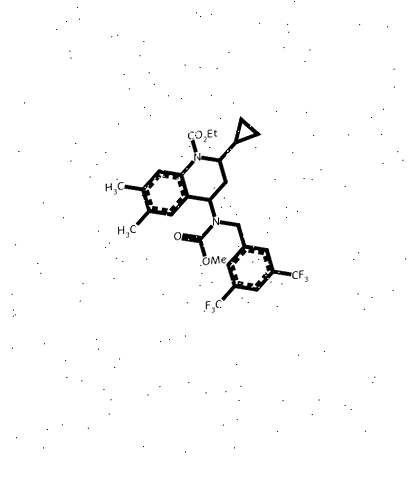 CCOC(=O)N1c2cc(C)c(C)cc2C(N(Cc2cc(C(F)(F)F)cc(C(F)(F)F)c2)C(=O)OC)CC1C1CC1